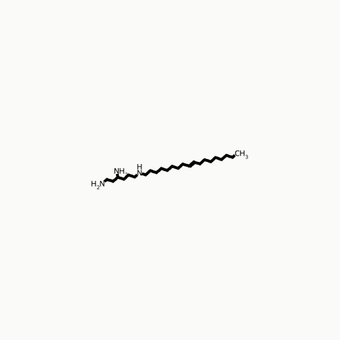 CCCCCCCCC=CCCCCCCCCNCCCC(N)CCN